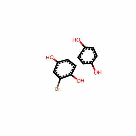 Oc1ccc(O)c(Br)c1.Oc1ccc(O)cc1